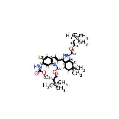 CC1(C)CCc2c(-c3cc4cc(F)c(NC(=O)OC(C)(C)C)cc4n3COCC[Si](C)(C)C)nn(COCC[Si](C)(C)C)c2C1